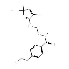 C=C(c1ccc(CCN)cc1)N(CC)CCNC1=NC(C)(C)C=C1C